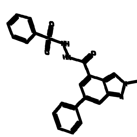 Cn1cc2c(C(=O)NNS(=O)(=O)c3ccccc3)cc(-c3ccccc3)cc2n1